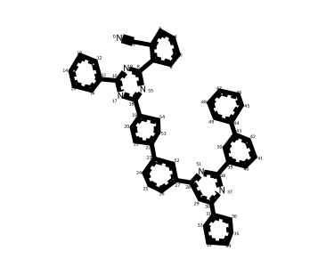 N#Cc1ccccc1-c1nc(-c2ccccc2)nc(-c2ccc(-c3cccc(-c4cc(-c5ccccc5)nc(-c5cccc(-c6ccccc6)c5)n4)c3)cc2)n1